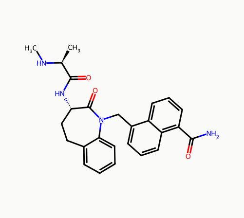 CN[C@@H](C)C(=O)N[C@H]1CCc2ccccc2N(Cc2cccc3c(C(N)=O)cccc23)C1=O